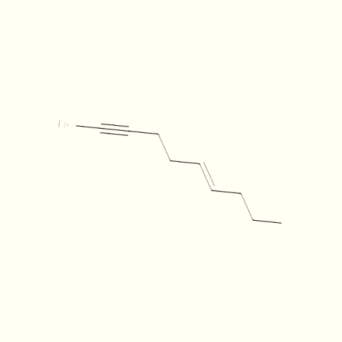 CCCC=CCCC#CO